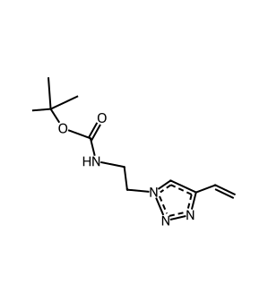 C=Cc1cn(CCNC(=O)OC(C)(C)C)nn1